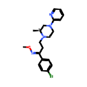 CON=C(CCN1CCN(c2ccccn2)C[C@@H]1C)c1ccc(Cl)cc1